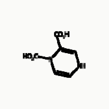 O=C(O)C1=CNC=CN1C(=O)O